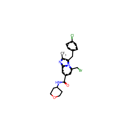 O=C(NC1CCOCC1)c1cc(CBr)n2c(Cc3ccc(Cl)cc3)c(C(F)(F)F)nc2c1